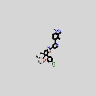 CC(=O)[C@@H](OC(C)(C)C)c1c(C)cc2nc(-c3ccnc(-c4ccc5c(cnn5C)c4C)c3)sc2c1-c1ccc(Cl)cc1